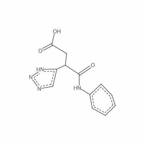 O=C(O)CC(C(=O)Nc1ccccc1)c1cnn[nH]1